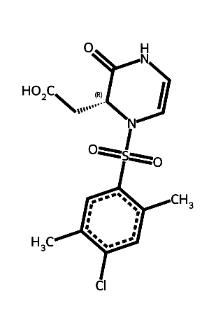 Cc1cc(S(=O)(=O)N2C=CNC(=O)[C@H]2CC(=O)O)c(C)cc1Cl